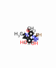 CCCN1CCc2c(-n3c(S)nnc3-c3cc(C4CC4)c(O)cc3O)ccc(OC)c21